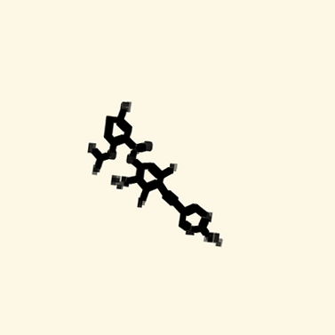 Nc1ncc(C#Cc2c(F)cc(OS(=O)c3cc(Cl)ccc3OC(F)F)c(N)c2F)cn1